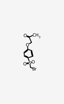 CC(=O)COc1ccc(S(=O)(=O)CBr)cc1